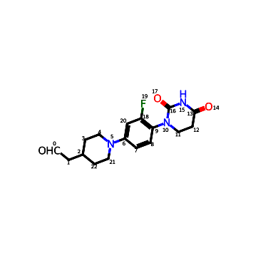 O=CCC1CCN(c2ccc(N3CCC(=O)NC3=O)c(F)c2)CC1